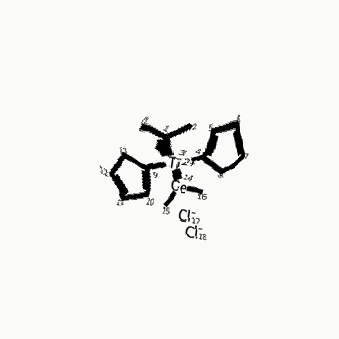 C[C](C)=[Ti+2]([C]1=CC=CC1)([C]1=CC=CC1)=[Ge]([CH3])[CH3].[Cl-].[Cl-]